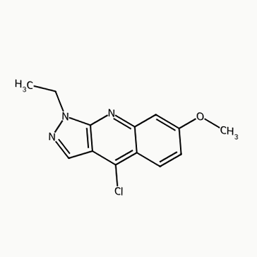 CCn1ncc2c(Cl)c3ccc(OC)cc3nc21